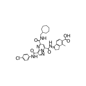 Cc1c(C(=O)O)ccc2c1CC[C@@H]2NC(=O)c1cc(C(=O)NCC2CCCCCC2)nc2c(C(=O)Nc3ccc(Cl)cc3)cnn12